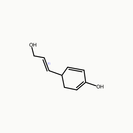 OC/C=C/C1C=CC(O)=CC1